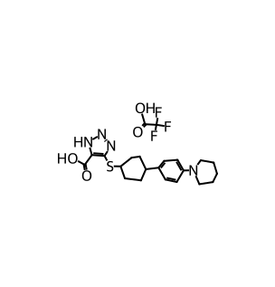 O=C(O)C(F)(F)F.O=C(O)c1[nH]nnc1SC1CCC(c2ccc(N3CCCCC3)cc2)CC1